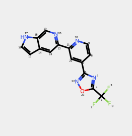 FC(F)(F)c1nc(-c2ccnc(-c3cc4cc[nH]c4cn3)c2)no1